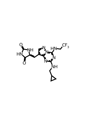 O=C1NC(=O)/C(=C/c2cnn3c(NCC(F)(F)F)nc(NCC4CC4)nc23)N1